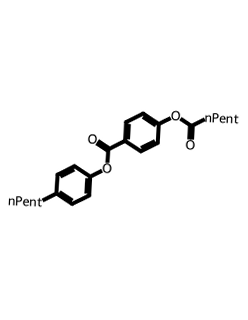 CCCCCC(=O)Oc1ccc(C(=O)Oc2ccc(CCCCC)cc2)cc1